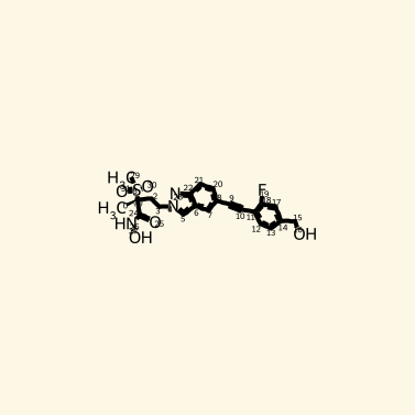 C[C@@](CCn1cc2cc(C#Cc3ccc(CO)cc3F)ccc2n1)(C(=O)NO)S(C)(=O)=O